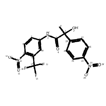 CC(O)(C(=O)Nc1ccc([N+](=O)[O-])c(C(F)(F)F)c1)c1ccc([N+](=O)[O-])cc1